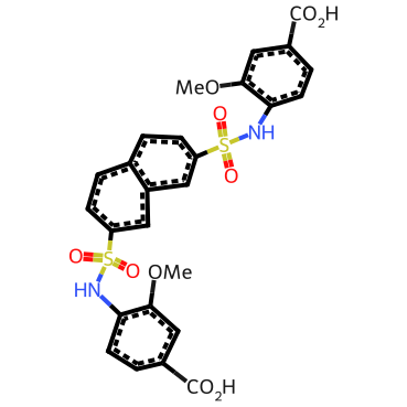 COc1cc(C(=O)O)ccc1NS(=O)(=O)c1ccc2ccc(S(=O)(=O)Nc3ccc(C(=O)O)cc3OC)cc2c1